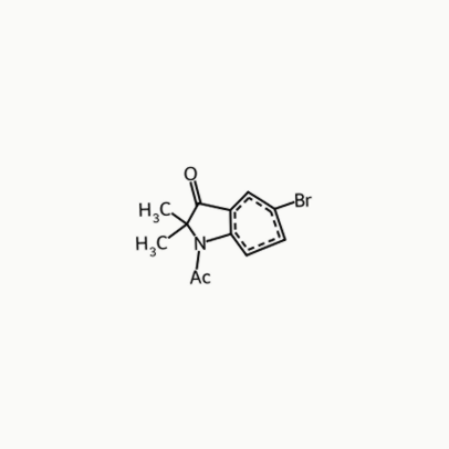 CC(=O)N1c2ccc(Br)cc2C(=O)C1(C)C